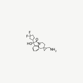 NCC1CC12CCN(C(=O)[C@](O)(c1ccccc1)[C@@H]1CCC(F)(F)C1)CC2